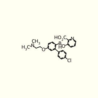 CN(C)CCOc1ccc(BOc2cccnc2C(=O)O)c(-c2ccc(Cl)cc2)c1